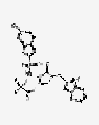 O=C(O)C(F)(F)F.O=C1[C@@H](NS(=O)(=O)c2cc3ccc(Cl)cc3s2)CCN1Cc1cc2ncccc2[nH]1